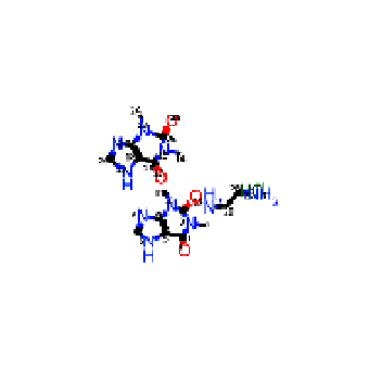 Cl.Cn1c(=O)c2[nH]cnc2n(C)c1=O.Cn1c(=O)c2[nH]cnc2n(C)c1=O.NCCN